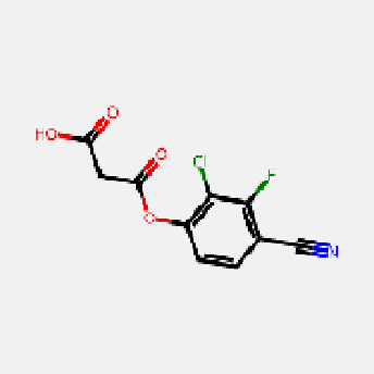 N#Cc1ccc(OC(=O)CC(=O)O)c(Cl)c1F